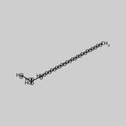 CCCOCCOCCOCCOCCOCCOCCOCCOCCOCCOCCOCCOCCOCCOCCOCCOCCOCCOCCOCCOCCOCCOCCOCCNC(=O)CCCCCCCCCCC(CCCCCCCCCCC(=O)O)(C(=O)O)C(=O)O